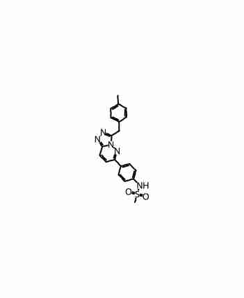 Cc1ccc(Cc2nnc3ccc(-c4ccc(NS(C)(=O)=O)cc4)nn23)cc1